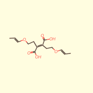 CC=COCCC(C(=O)O)=C(CCOC=CC)C(=O)O